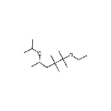 CCOC(C)(C)C(C)(C)CC(C)OC(C)C